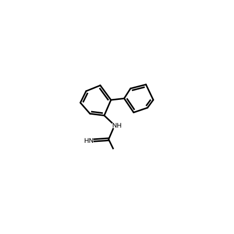 CC(=N)Nc1ccccc1-c1ccccc1